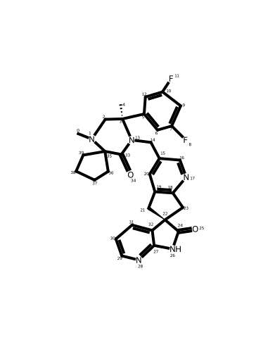 CN1C[C@@](C)(c2cc(F)cc(F)c2)N(Cc2cnc3c(c2)C[C@@]2(C3)C(=O)Nc3ncccc32)C(=O)C12CCCC2